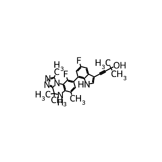 Cc1cc(-c2cc(F)cc3c(C#CC(C)(C)O)c[nH]c23)c(F)c2c1NC(C)(C)c1nnc(C)n1-2